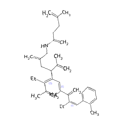 C=C(C)CCC(=C)NCC(=C)CC(C(=C)C)C(/C=C(\C)C(=C)/C(=C\c1ccccc1C)CC)=C(\CC)C(=C)C